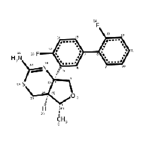 C[C@H]1OC[C@]2(c3cc(-c4ccccc4F)ccc3F)N=C(N)SC[C@H]12